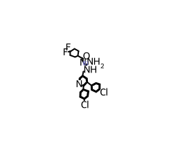 N/C(=N\C(=O)C1CCC(F)(F)CC1)NCc1cnc(-c2ccc(Cl)cc2)c(-c2ccc(Cl)cc2)c1